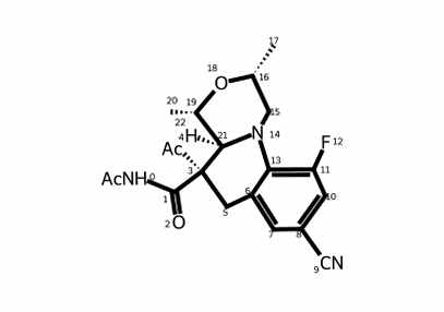 CC(=O)NC(=O)[C@]1(C(C)=O)Cc2cc(C#N)cc(F)c2N2C[C@@H](C)O[C@@H](C)[C@@H]21